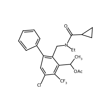 CCN(Cc1c(-c2ccccc2)cc(Cl)c(C(F)(F)F)c1C(C)OC(C)=O)C(=O)C1CC1